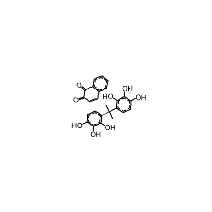 CC(C)(c1ccc(O)c(O)c1O)c1ccc(O)c(O)c1O.O=C1C=Cc2ccccc2C1=O